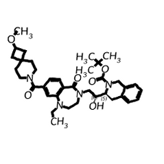 CCN1CCN(C[C@@H](O)[C@@H]2Cc3ccccc3CN2C(=O)OC(C)(C)C)C(=O)c2ccc(C(=O)N3CCC4(CC3)CC(OC)C4)cc21